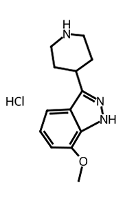 COc1cccc2c(C3CCNCC3)n[nH]c12.Cl